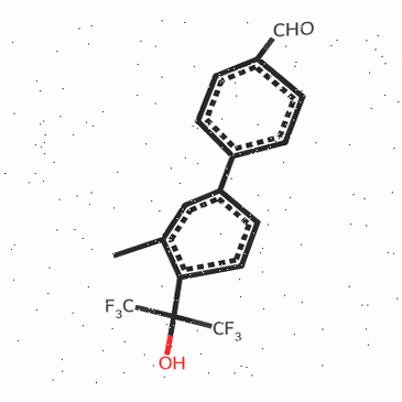 Cc1cc(-c2ccc(C=O)cc2)ccc1C(O)(C(F)(F)F)C(F)(F)F